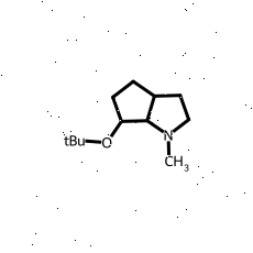 CN1CCC2CCC(OC(C)(C)C)C21